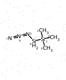 C[Si](C)(C)[SiH2]N=[N+]=[N-]